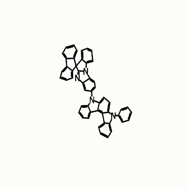 c1ccc(-n2c3ccccc3c3c4c5ccccc5n(-c5ccc6c(c5)nc5n6-c6ccccc6C56c5ccccc5-c5ccccc56)c4ccc32)cc1